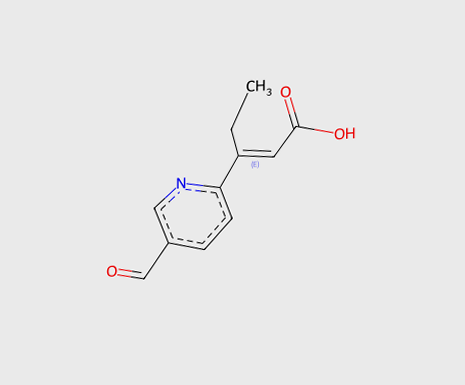 CC/C(=C\C(=O)O)c1ccc(C=O)cn1